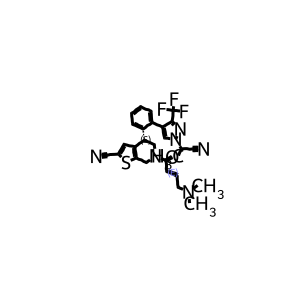 CC(C#N)n1cc(-c2ccccc2[C@@H]2CN(C(=O)/C=C/CN(C)C)Cc3sc(C#N)cc32)c(C(F)(F)F)n1